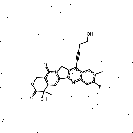 CC[C@@]1(O)C(=O)OCc2c1cc1n(c2=O)Cc2c-1nc1cc(F)c(C)cc1c2C#CCCO